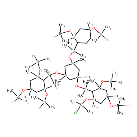 C[Si](C)(Cl)O[Si]1(C)CCC([Si](C)(C)O[Si]2(C)C[Si](C)(O[Si](C)(C)C3[Si](C)(O[Si](C)(C)Cl)C[Si](C)(O[Si](C)(C)Cl)C[Si]3(C)O[Si](C)(C)Cl)C[Si](C)(O[Si](C)(C)C3[Si](C)(O[Si](C)(C)Cl)C[Si](C)(O[Si](C)(C)Cl)C[Si]3(C)O[Si](C)(C)Cl)C2)[Si](C)(O[Si](C)(C)Cl)C1